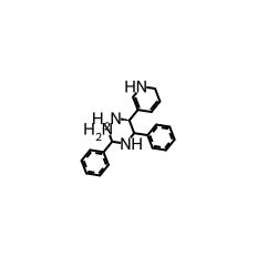 NC(NC(c1ccccc1)[C@@H](N)C1=CNCC=C1)c1ccccc1